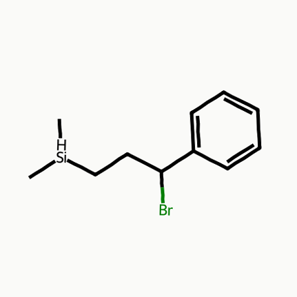 C[SiH](C)CCC(Br)c1ccccc1